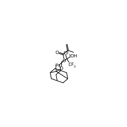 C=C(C)C(=O)OCC12CC3CC(C1)C(OCC(O)(C(F)(F)F)C(F)(F)F)(C(C)C)C(C3)C2